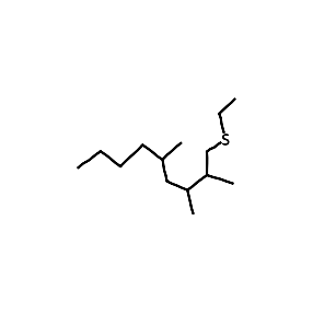 CCCCC(C)CC(C)C(C)CSCC